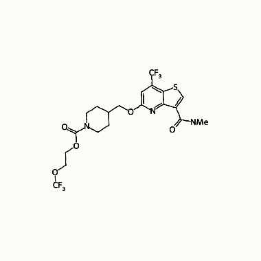 CNC(=O)c1csc2c(C(F)(F)F)cc(OCC3CCN(C(=O)OCCOC(F)(F)F)CC3)nc12